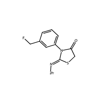 CC(C)/N=C1\SCC(=O)N1c1cccc(CF)c1